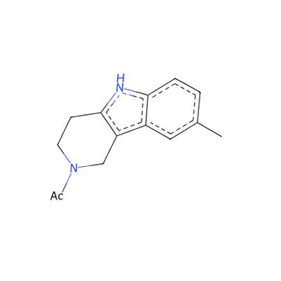 CC(=O)N1CCc2[nH]c3ccc(C)cc3c2C1